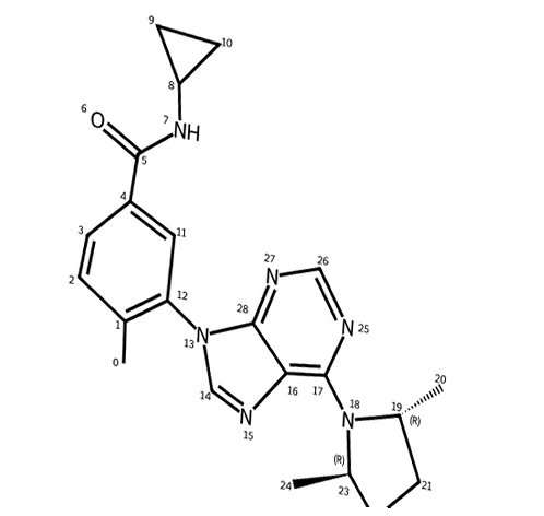 Cc1ccc(C(=O)NC2CC2)cc1-n1cnc2c(N3[C@H](C)CC[C@H]3C)ncnc21